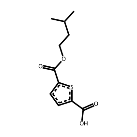 CC(C)CCOC(=O)c1ccc(C(=O)O)s1